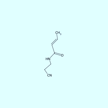 CC=CC(=O)NCCC#N